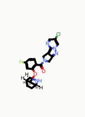 O=C(c1ccc(F)cc1O[C@H]1C[C@H]2CC[C@@H]1CN2)N1Cc2nn3cc(Cl)cnc3c2C1